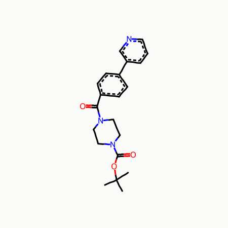 CC(C)(C)OC(=O)N1CCN(C(=O)c2ccc(-c3cccnc3)cc2)CC1